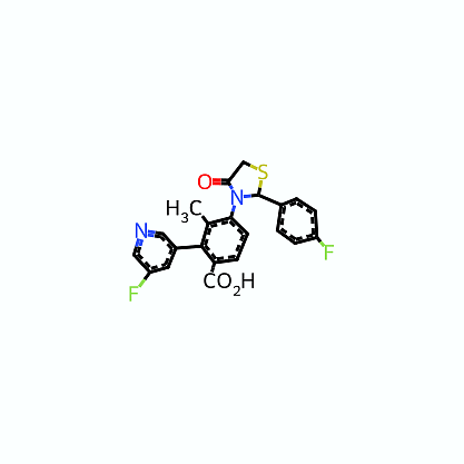 Cc1c(N2C(=O)CSC2c2ccc(F)cc2)ccc(C(=O)O)c1-c1cncc(F)c1